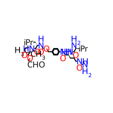 CC(C)C[C@H](NC(=O)OCc1ccc(NC(=O)[C@H](CCCNC(N)=O)NC(=O)[C@@H](N)C(C)C)cc1)C(=O)NC(C)(C)C(=O)OCC=O